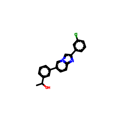 CC(O)c1cccc(-c2ccc3nc(-c4cccc(Cl)c4)cn3c2)c1